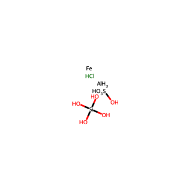 Cl.O=S(=O)(O)O.O[Si](O)(O)O.[AlH3].[Fe]